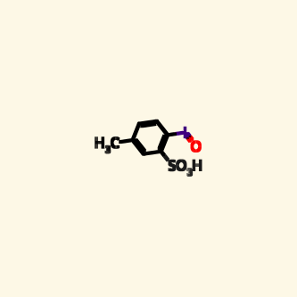 Cc1ccc(I=O)c(S(=O)(=O)O)c1